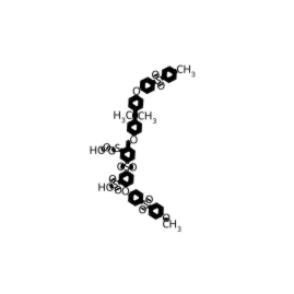 COc1ccc(S(=O)(=O)c2ccc(Oc3ccc(S(=O)(=O)c4ccc(COc5ccc(C(C)(C)c6ccc(Oc7ccc(S(=O)(=O)c8ccc(C)cc8)cc7)cc6)cc5)c(SOOO)c4)cc3S(=O)(=O)O)cc2)cc1